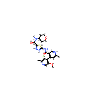 COc1cnc(C)c(F)c1-c1cc(C)ncc1C(=O)Nc1nnc(C(=O)N(C)C2CCOCC2)s1